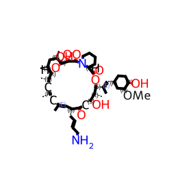 CO[C@@H]1C[C@H](/C=C(\C)[C@H]2OC(=O)[C@@H]3CCCCN3C(=O)C(=O)[C@]3(O)O[C@H]([C@@H](C)C[C@@H](C)C/C(C)=C/[C@@H](CC=CCN)C(=O)C[C@H](O)[C@H]2C)[C@@H](C)C[C@H]3C)CC[C@H]1O